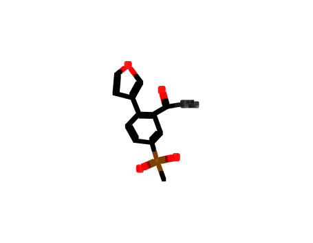 COC(=O)c1cc(S(C)(=O)=O)ccc1-c1ccoc1